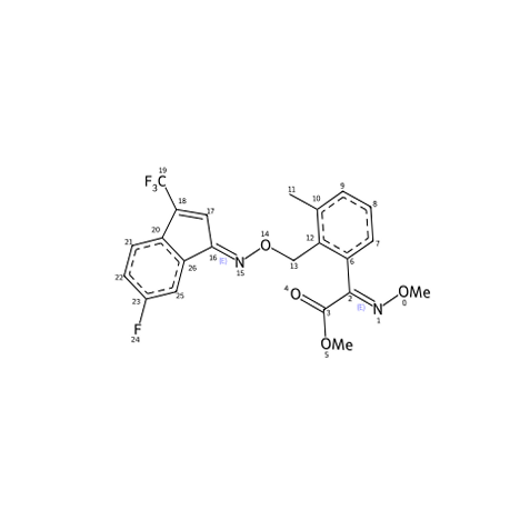 CO/N=C(/C(=O)OC)c1cccc(C)c1CO/N=C1\C=C(C(F)(F)F)c2ccc(F)cc21